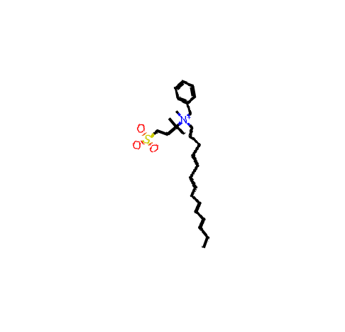 CCCCCCCCCCCCCC[N+](C)(Cc1ccccc1)C(C)(C)CCS(=O)(=O)[O-]